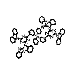 c1ccc([Si](c2ccccc2)(c2cccc(-c3nc(-n4c5ccccc5c5ccccc54)nc(-n4c5ccccc5n5c6ccccc6nc45)n3)c2)c2cccc(-c3nc(-n4c5ccccc5c5ccccc54)nc(-n4c5ccccc5n5c6ccccc6nc45)n3)c2)cc1